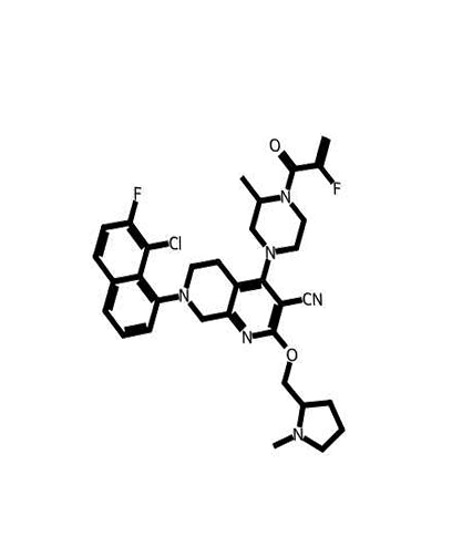 C=C(F)C(=O)N1CCN(c2c(C#N)c(OCC3CCCN3C)nc3c2CCN(c2cccc4ccc(F)c(Cl)c24)C3)CC1C